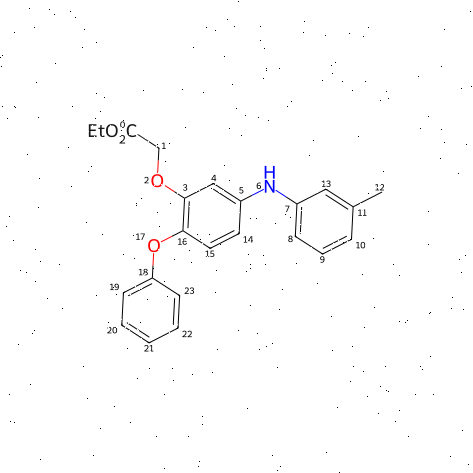 CCOC(=O)COc1cc(Nc2cccc(C)c2)ccc1Oc1ccccc1